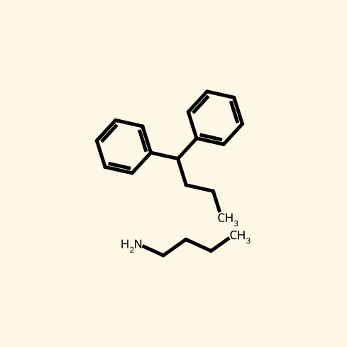 CCCC(c1ccccc1)c1ccccc1.CCCCN